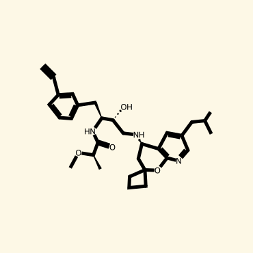 C#Cc1cccc(C[C@H](NC(=O)[C@@H](C)OC)[C@H](O)CN[C@H]2CC3(CCC3)Oc3ncc(CC(C)C)cc32)c1